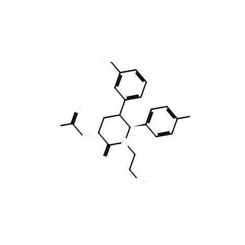 CCCN1C(=O)[C@H](CC(=O)O)CC(c2cccc(Cl)c2)[C@H]1c1ccc(Cl)cc1